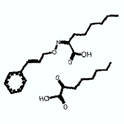 CCCCCCC(=NOCC=Cc1ccccc1)C(=O)O.CCCCCCC(=O)C(=O)O